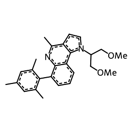 COCC(COC)n1ccc2c(C)nc3c(-c4c(C)cc(C)cc4C)cccc3c21